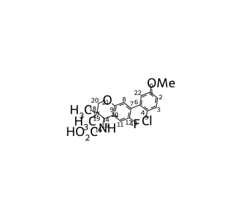 COc1ccc(Cl)c(-c2cc3c(cc2F)C(NC(=O)O)C(C)(C)CO3)c1